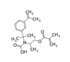 C=C(C)C(=O)OCC(C)N(C(=O)O)C(C)(C)c1cccc(C(=C)C)c1